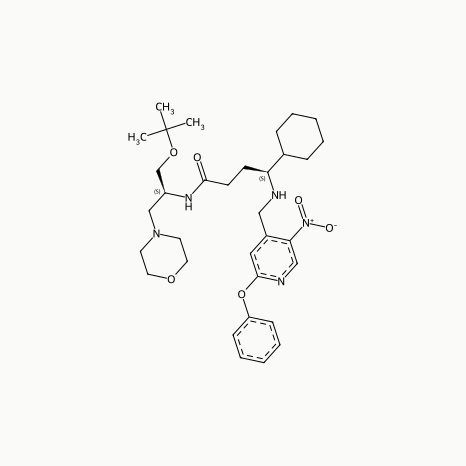 CC(C)(C)OC[C@H](CN1CCOCC1)NC(=O)CC[C@H](NCc1cc(Oc2ccccc2)ncc1[N+](=O)[O-])C1CCCCC1